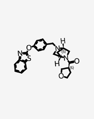 O=C([C@H]1CCOC1)N1C[C@@H]2C[C@H]1CN2Cc1ccc(Oc2nc3ccccc3s2)cc1